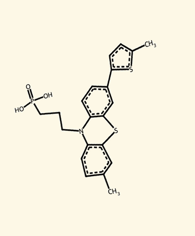 Cc1ccc2c(c1)Sc1cc(-c3ccc(C)s3)ccc1N2CCCP(=O)(O)O